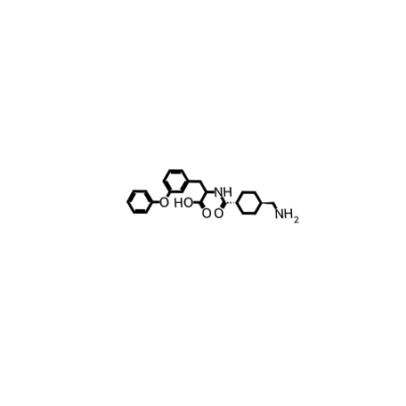 NC[C@H]1CC[C@H](C(=O)NC(Cc2cccc(Oc3ccccc3)c2)C(=O)O)CC1